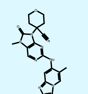 Cc1cn2ccnc2cc1Nc1ncc2c(n1)n(C1(C#N)CCOCC1)c(=O)n2C